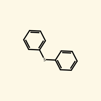 [c]1ccccc1Sc1ccccc1